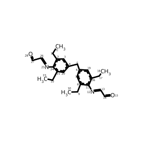 CCc1cc(Cc2cc(CC)c(N=CC=O)c(CC)c2)cc(CC)c1N=CC=O